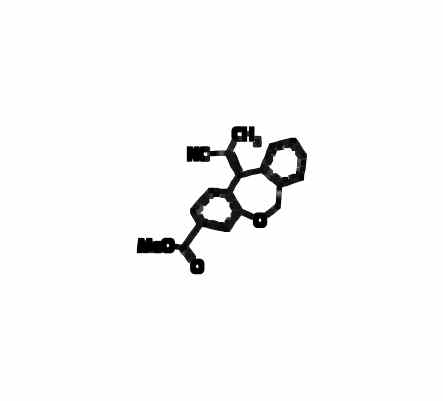 COC(=O)c1ccc2c(c1)OCc1ccccc1/C2=C(\C)C#N